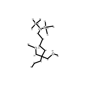 CCCC(CCCCN([Si](C)(C)C)[Si](C)(C)C)(COC)COC